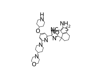 CC1(c2nc(-c3cc(OC4CCNCC4)cc(N4CCC(N5CCOCC5)CC4)n3)no2)CCCc2sc(N)c(C#N)c21